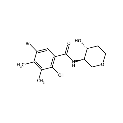 Cc1c(Br)cc(C(=O)N[C@@H]2COCC[C@H]2O)c(O)c1C